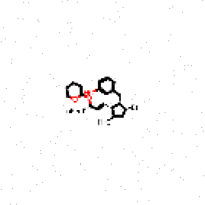 CCCCC[C@@H](/C=C/[C@@H]1[C@@H](Cc2cccc(O)c2)[C@@H](CC)C[C@H]1C)OC1CCCCO1